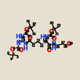 CC(C)(C)OC(=O)/N=C(\NCCCC[C@H](NC(=O)OC(C)(C)C)C(=O)NCCC=O)NC(=O)OC(C)(C)C